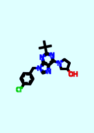 CC(C)(C)c1nc(N2CCC(O)C2)c2ncn(Cc3ccc(Cl)cc3)c2n1